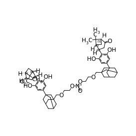 CC1(C)[C@@H]2C[C@@H]1[C@H](c1c(O)cc(C34CC5CC(CC(COCCO[N+](=O)OCCOCC67CC8CC(C6)CC(c6cc(O)c([C@@H]9CC(=O)[C@H]%10C[C@H]9C%10(C)C)c(O)c6)(C8)C7)(C5)C3)C4)cc1O)CC2=O